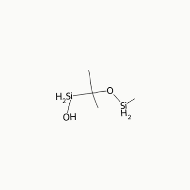 C[SiH2]OC(C)(C)[SiH2]O